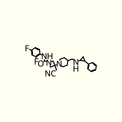 N#CCC1(N2CCC(CNC3CC3c3ccccc3)CC2)CN(C(=O)Nc2ccc(F)cc2F)C1